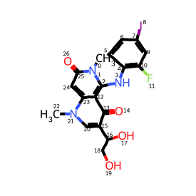 Cn1c(Nc2ccc(I)cc2F)c2c(=O)c(C(O)CO)cn(C)c2cc1=O